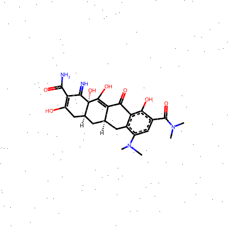 CN(C)C(=O)c1cc(N(C)C)c2c(c1O)C(=O)C1=C(O)[C@]3(O)C(=N)C(C(N)=O)=C(O)C[C@@H]3C[C@@H]1C2